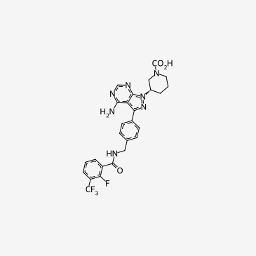 Nc1ncnc2c1c(-c1ccc(CNC(=O)c3cccc(C(F)(F)F)c3F)cc1)nn2[C@@H]1CCCN(C(=O)O)C1